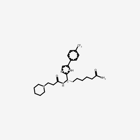 NC(=O)CCCCC[C@H](NC(=O)CCN1CCCCC1)c1ncc(-c2ccc(C(F)(F)F)cc2)[nH]1